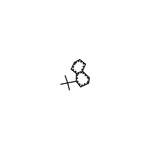 CC(C)(C)c1cccc2[c]cc[c]c12